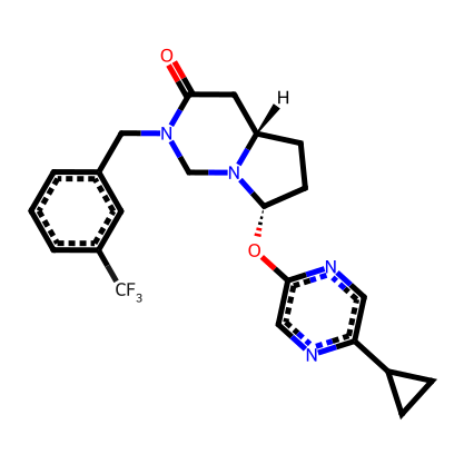 O=C1C[C@@H]2CC[C@H](Oc3cnc(C4CC4)cn3)N2CN1Cc1cccc(C(F)(F)F)c1